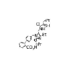 CCCOc1nc(CC)c(CNC(=O)[C@@H](S)CC(C)C)n1Cc1ccc(-c2ccccc2C(=O)O)cc1